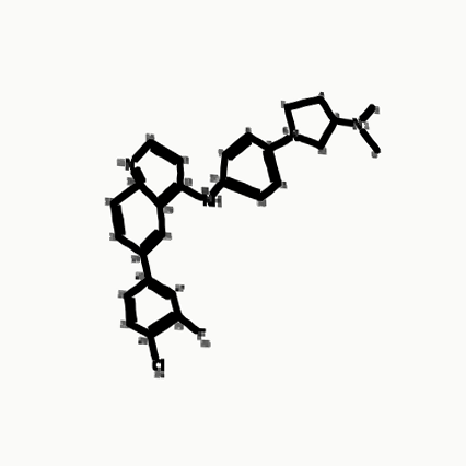 CN(C)C1CCN(c2ccc(Nc3ccnc4ccc(-c5ccc(Cl)c(F)c5)cc34)cc2)C1